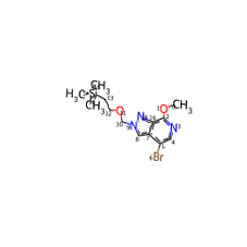 COc1ncc(Br)c2cn(COCC[Si](C)(C)C)nc12